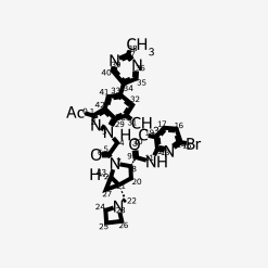 CC(=O)c1nn(CC(=O)N2[C@H](C(=O)Nc3nc(Br)ccc3C)C[C@@]3(CN4CCC4)C[C@@H]23)c2c(C)cc(-c3cnc(C)nc3)cc12